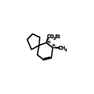 CCOC(=O)[C@H]1[C@@H](C)C=CCC12CCCC2